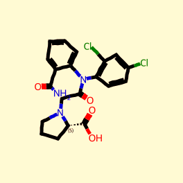 NC(=O)c1ccccc1N(C(=O)CN1CCC[C@H]1C(=O)O)c1ccc(Cl)cc1Cl